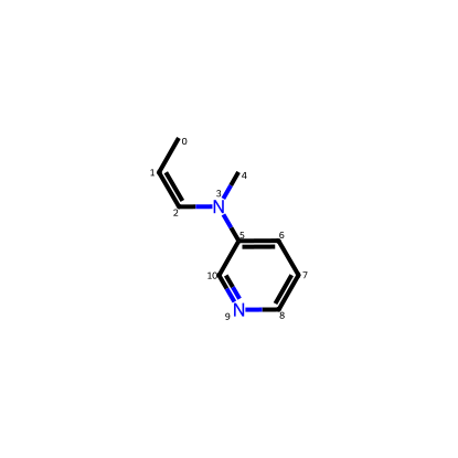 C/C=C\N(C)c1cccnc1